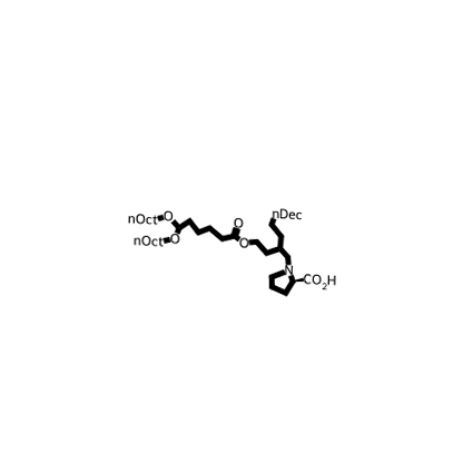 CCCCCCCCCCCCC(CCOC(=O)CCCCC(OCCCCCCCC)OCCCCCCCC)CN1CCC[C@@H]1C(=O)O